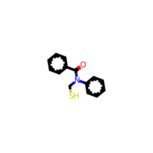 O=C(c1ccccc1)N(CS)c1ccccc1